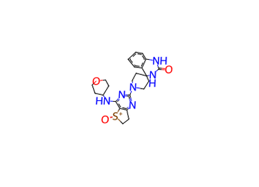 O=C1Nc2ccccc2C2(CCN(c3nc4c(c(NC5CCOCC5)n3)[S+]([O-])CC4)CC2)N1